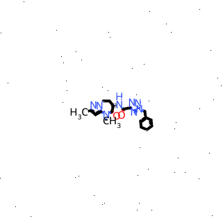 Cc1cc2n(n1)CC[C@H](NC(=O)c1nnn(CC3=CCCC=C3)n1)C(=O)N2C